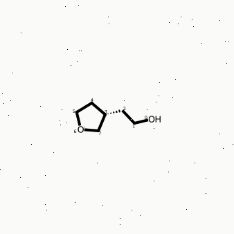 OCC[C@H]1CCOC1